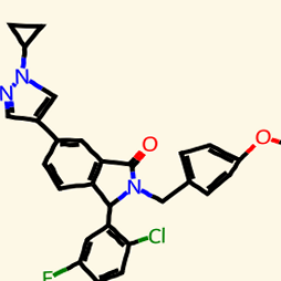 COc1ccc(CN2C(=O)c3cc(-c4cnn(C5CC5)c4)ccc3C2c2cc(F)ccc2Cl)cc1